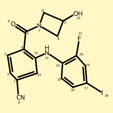 N#Cc1ccc(C(=O)N2CC(O)C2)c(Nc2ccc(I)cc2F)c1